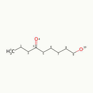 CCCC(=O)CCCCC[O]